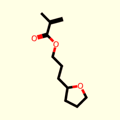 C=C(C)C(=O)OCCCC1CCCO1